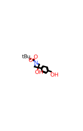 CC(C)(C)OC(=O)N1CC(O)(c2ccc(CO)cc2)C1